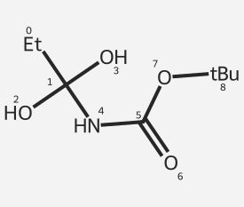 CCC(O)(O)NC(=O)OC(C)(C)C